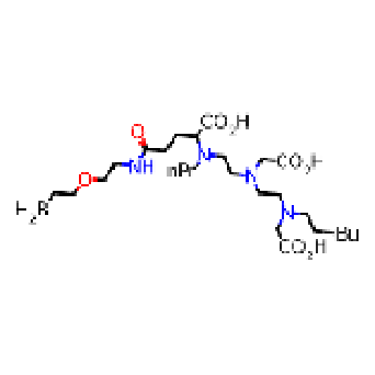 BCCOCCNC(=O)CCC(C(=O)O)N(CCC)CCN(CCN(CCC(C)CC)CC(=O)O)CC(=O)O